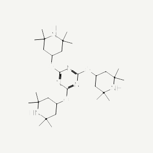 CC1(C)CC(Oc2nc(OC3CC(C)(C)NC(C)(C)C3)nc(OC3CC(C)(C)NC(C)(C)C3)n2)CC(C)(C)N1